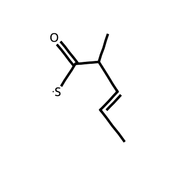 CC=CC(C)C(=O)[S]